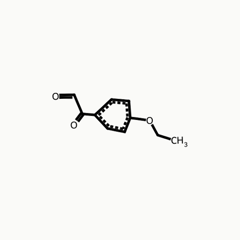 CCOc1ccc(C(=O)C=O)cc1